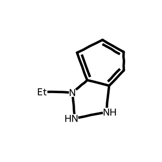 CCN1NNc2ccccc21